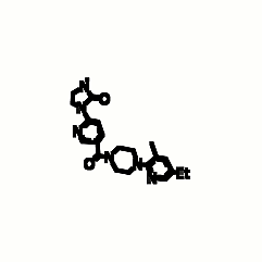 CCc1cnc(N2CCN(C(=O)c3ccc(N4CCN(C)C4=O)nc3)CC2)c(C)c1